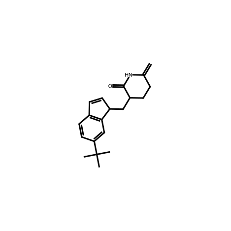 C=C1CCC(CC2C=Cc3ccc(C(C)(C)C)cc32)C(=O)N1